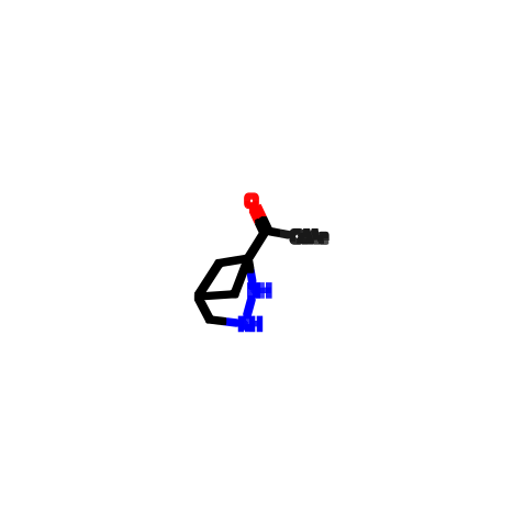 COC(=O)C12CC(CNN1)C2